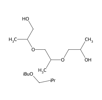 CC(C)COCC(C)C.CC(O)COC(C)COC(C)CO